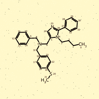 CCCCn1c(CN(Cc2ccccc2)Cc2ccc(SC)cc2)cnc1-c1ccccc1